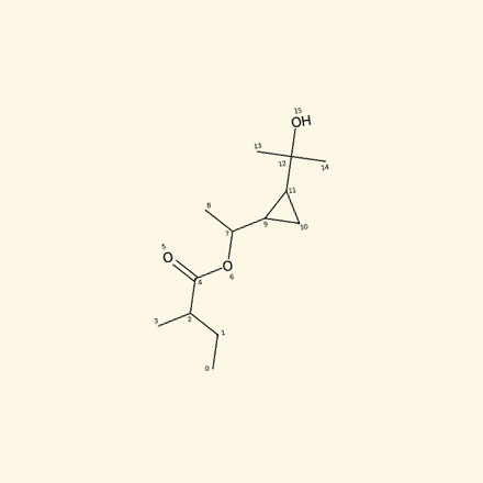 CCC(C)C(=O)OC(C)C1CC1C(C)(C)O